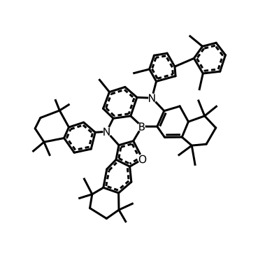 Cc1cc2c3c(c1)N(c1ccc4c(c1)C(C)(C)CCC4(C)C)c1c(oc4cc5c(cc14)C(C)(C)CCC5(C)C)B3C1=C(CC3C(=C1)C(C)(C)CCC3(C)C)N2c1cc(-c2c(C)cccc2C)ccc1C